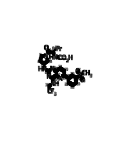 CC(C)[C@@H](NC(=O)O)C(=O)N1CC[C@H](Nc2nc(NCC(F)(F)F)c3nc(-c4cccc(S(C)(=O)=O)c4)ccc3n2)C1